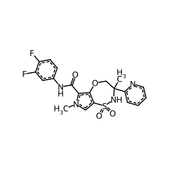 Cn1cc2c(c1C(=O)Nc1ccc(F)c(F)c1)OCC(C)(c1ccccn1)NS2(=O)=O